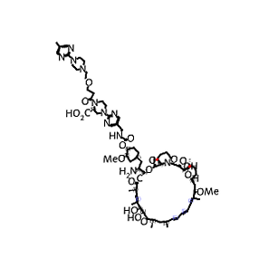 CO[C@H]1C[C@@H]2CC[C@@H](C)[C@@](O)(O2)C(=O)C(=O)N2CCCC[C@H]2C(=O)O[C@H]([C@H](N)C[C@@H]2CC[C@@H](OC(=O)NCc3cnc(N4CCN(C(=O)CCOCCN5CCN(c6ncc(C)cn6)CC5)[C@@H](C(=O)O)C4)nc3)[C@H](OC)C2)CC(=O)[C@H](C)/C=C(\C)[C@@H](O)[C@@H](O)C(=O)[C@H](C)C[C@H](C)/C=C/C=C/C=C/1C